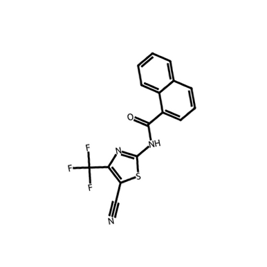 N#Cc1sc(NC(=O)c2cccc3ccccc23)nc1C(F)(F)F